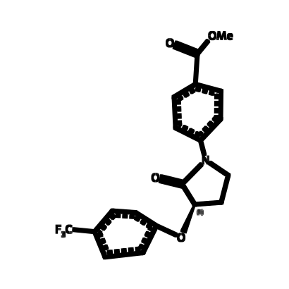 COC(=O)c1ccc(N2CC[C@@H](Oc3ccc(C(F)(F)F)cc3)C2=O)cc1